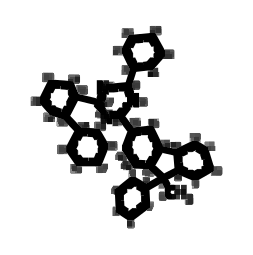 CC1(c2ccccc2)c2ccccc2-c2cc(-c3nc(-c4ccccc4)nc(-c4ccccc4-c4ccccc4)n3)ccc21